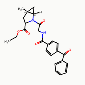 CCOC(=O)C1C[C@]2(C)C[C@@H]2N1C(=O)CNC(=O)c1ccc(C(=O)c2ccccc2)cc1